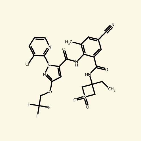 CCC1(NC(=O)c2cc(C#N)cc(C)c2NC(=O)c2cc(OCC(F)(F)F)nn2-c2ncccc2Cl)CS(=O)(=O)C1